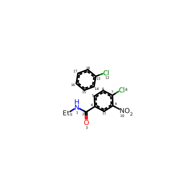 CCNC(=O)c1ccc(Cl)c([N+](=O)[O-])c1.Clc1ccccc1